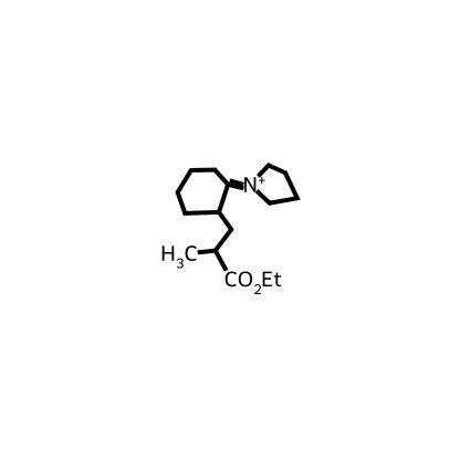 CCOC(=O)C(C)CC1CCCCC1=[N+]1CCCC1